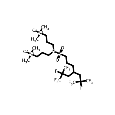 C[N+](C)([O-])CCCN(CCC[N+](C)(C)[O-])S(=O)(=O)CCCC(CC(F)(C(F)(F)F)C(F)(F)F)CC(F)(C(F)(F)F)C(F)(F)F